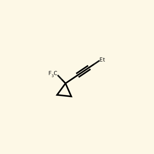 CCC#CC1(C(F)(F)F)CC1